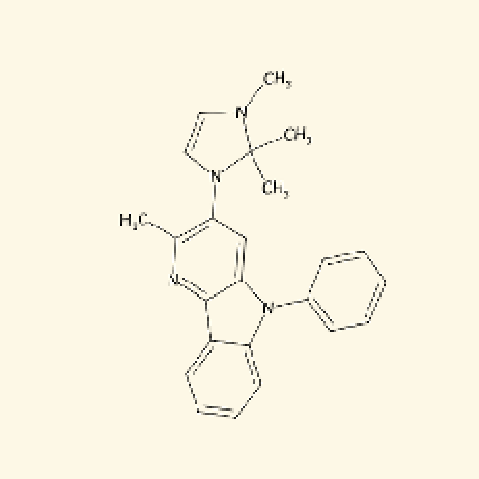 Cc1nc2c3ccccc3n(-c3ccccc3)c2cc1N1C=CN(C)C1(C)C